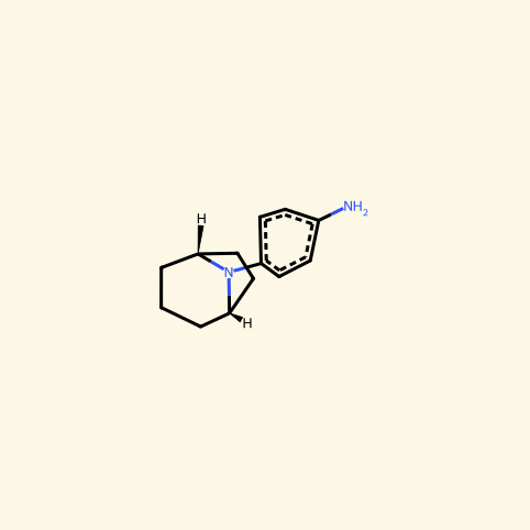 Nc1ccc(N2[C@@H]3CCC[C@H]2CC3)cc1